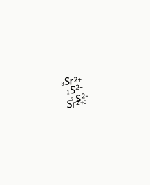 [S-2].[S-2].[Sr+2].[Sr+2]